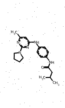 Cc1cc(Nc2ccc(NC(=O)CC(C)C)cc2)nc(N2CCCC2)n1